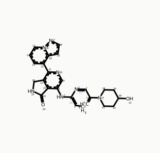 C=C(/C=N\C(=C/C)Nc1cnc(-c2cccn3nccc23)c2c1C(=O)NC2)N1CCC(O)CC1